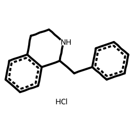 Cl.c1ccc(CC2NCCc3ccccc32)cc1